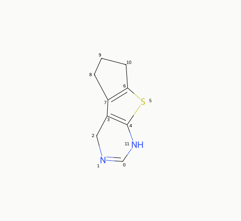 C1=NCc2c(sc3c2CCC3)N1